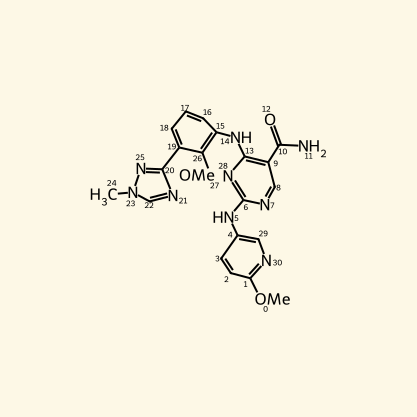 COc1ccc(Nc2ncc(C(N)=O)c(Nc3cccc(-c4ncn(C)n4)c3OC)n2)cn1